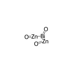 [O]=[Zn].[O]=[Zn][Bi]=[O]